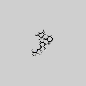 O=C(O)/C(O)=C/C(=O)c1cc(Cc2ccc(F)cc2F)cn(Cc2ccccc2F)c1=O